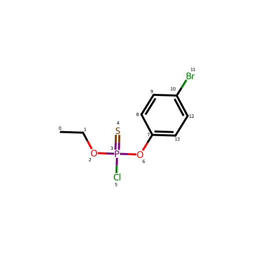 CCOP(=S)(Cl)Oc1ccc(Br)cc1